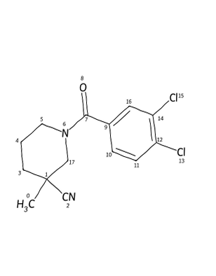 CC1(C#N)CCCN(C(=O)c2ccc(Cl)c(Cl)c2)C1